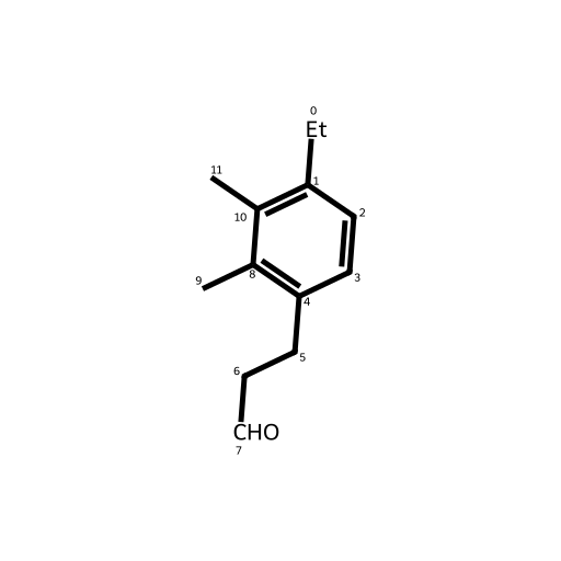 CCc1ccc(CCC=O)c(C)c1C